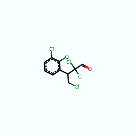 O=CC(Cl)(Cl)C(CCl)c1cccc(Cl)c1Cl